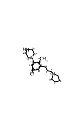 Cc1c(CCCN2CCCC2)cc(Cl)cc1N1CCNCC1